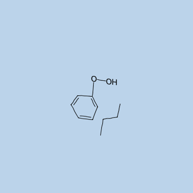 CCCC.OOc1ccccc1